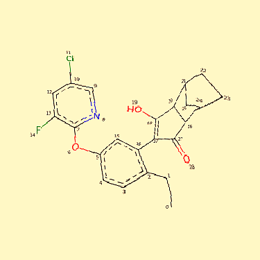 CCc1ccc(Oc2ncc(Cl)cc2F)cc1C1=C(O)C2C3CCC(C3)C2C1=O